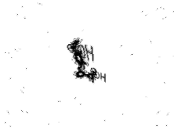 Cc1c(OCc2cccc(-c3cncc(C(=O)O)c3)c2)ccc(C(=O)CC(C)(C)C)c1O